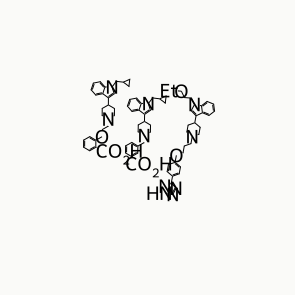 CCOCCn1cc(C2CCN(CCCOc3ccc(-c4nn[nH]n4)cc3)CC2)c2ccccc21.O=C(O)c1cccc(CN2CCC(c3cn(CC4CC4)c4ccccc34)CC2)c1.O=C(O)c1ccccc1OCCN1CCC(c2cn(CC3CC3)c3ccccc23)CC1